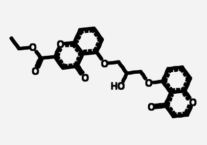 CCOC(=O)c1cc(=O)c2c(OCC(O)COc3cccc4occc(=O)c34)cccc2o1